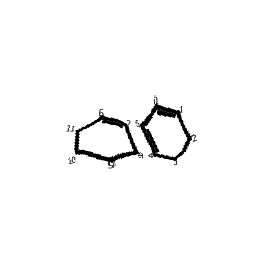 C1=CCCC=C1.C1=CCCCC1